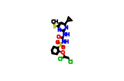 CSc1cc(C2CC2)nc(NC(=O)NS(=O)(=O)c2ccccc2O/C(Cl)=C/Cl)n1